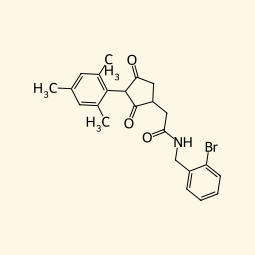 Cc1cc(C)c(C2C(=O)CC(CC(=O)NCc3ccccc3Br)C2=O)c(C)c1